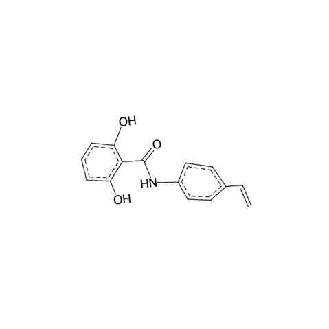 C=Cc1ccc(NC(=O)c2c(O)cccc2O)cc1